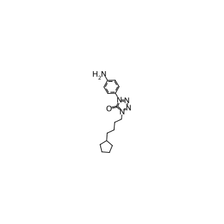 Nc1ccc(-n2nnn(CCCCC3CCCC3)c2=O)cc1